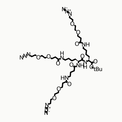 CC(C)(C)OC(=O)[C@H](CCCCNC(=O)CCOCCOCCN=[N+]=[N-])NC(=O)[C@H](CCCCNC(=O)CCOCCOCCN=[N+]=[N-])NC(=O)CCCNC(=O)CCOCCOCCN=[N+]=[N-]